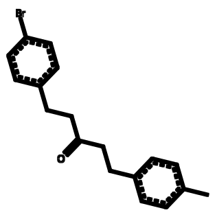 Cc1ccc(CCC(=O)CCc2ccc(Br)cc2)cc1